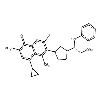 COC[C@@H](Nc1ccccc1)[C@@H]1CCN(c2c(F)cn3c(=O)c(C(=O)O)cc(C4CC4)c3c2C)C1